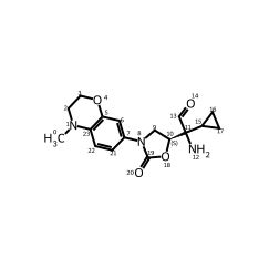 CN1CCOc2cc(N3C[C@@H](C(N)(C=O)C4CC4)OC3=O)ccc21